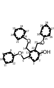 Oc1ccc(COc2ccccc2)c(COc2ccccc2)c1COc1ccccc1